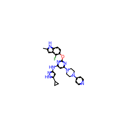 Cc1cc2c(F)c(Oc3nc(Nc4cc(C5CC5)[nH]n4)cc(N4CCN(c5ccncc5)CC4)n3)ccc2[nH]1